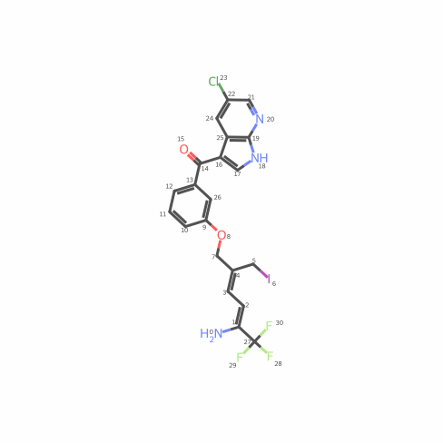 N/C(=C\C=C(/CI)COc1cccc(C(=O)c2c[nH]c3ncc(Cl)cc23)c1)C(F)(F)F